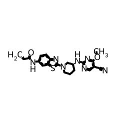 C=CC(=O)Nc1ccc2nc(N3CCC[C@@H](Nc4ncc(C#N)c(OC)n4)C3)sc2c1